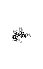 CC[C@@]1(O)C(=O)OCc2c1cc1n(c2=O)Cc2c-1nc1cc(F)c(C)c3c1c2[C@@H](N)CC3.Cl